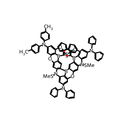 CSN1c2cc3c(cc2B2c4cc5c(cc4Oc4cc(N(c6ccccc6)c6ccccc6)cc1c42)N(SC)c1cc(N(c2ccccc2)c2ccccc2)cc2c1B5c1sc4ccccc4c1O2)B1c2sc4ccccc4c2Oc2cc(N(c4ccc(C)cc4)c4ccc(C)cc4)cc(c21)O3